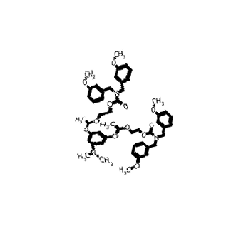 COc1cccc(CN(Cc2cccc(OC)c2)C(=O)OCCOC(C)Oc2cc(OC(C)OCCOC(=O)N(Cc3cccc(OC)c3)Cc3cccc(OC)c3)cc(N(C)C)c2)c1